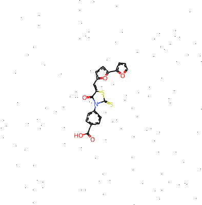 O=C(O)c1ccc(N2C(=O)C(=Cc3ccc(-c4ccco4)o3)SC2=S)cc1